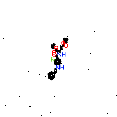 CC(C)(C)OC(=O)CC[C@@H](NC(=O)c1ccc(NCCc2ccccc2)cc1F)C(=O)OC(C)(C)C